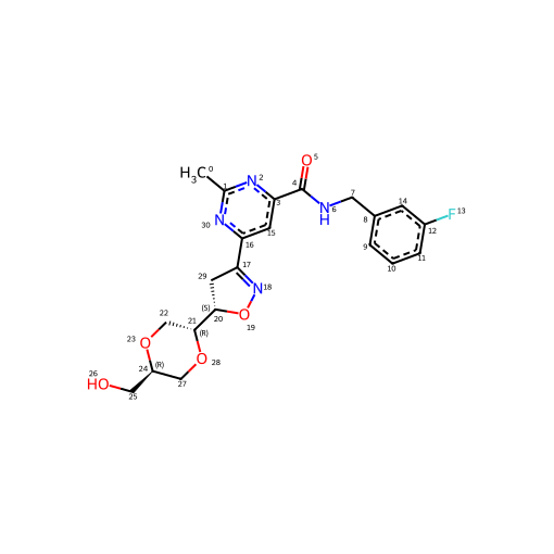 Cc1nc(C(=O)NCc2cccc(F)c2)cc(C2=NO[C@H]([C@H]3CO[C@H](CO)CO3)C2)n1